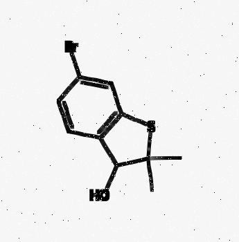 CC1(C)Sc2cc(Br)ccc2C1O